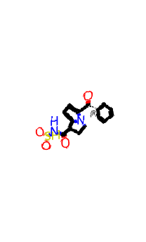 O=C(N[SH](=O)=O)C1CCn2c(C(=O)[C@H]3C=CC=CC3)ccc21